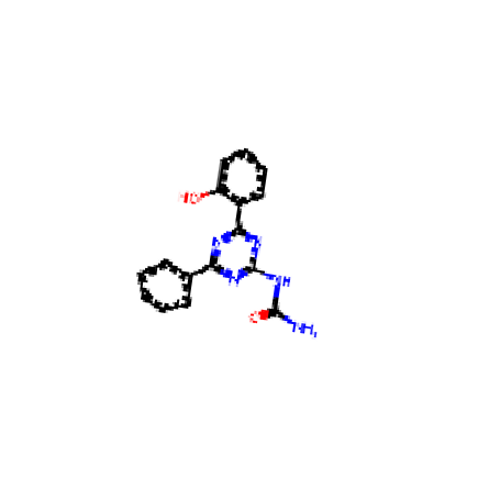 NC(=O)Nc1nc(-c2ccccc2)nc(-c2ccccc2O)n1